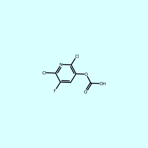 O=C(O)Oc1cc(F)c(Cl)nc1Cl